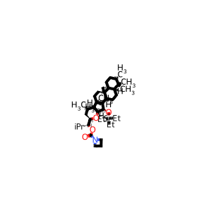 CC[Si](CC)(CC)O[C@H]1[C@H]2O[C@@H]([C@H](OC(=O)N3CCC3)C(C)C)C[C@@H](C)[C@@H]2[C@@]2(C)CC[C@@]34C[C@@]35CC[C@H](C)C(C)(C)[C@@H]5CC[C@H]4[C@]12C